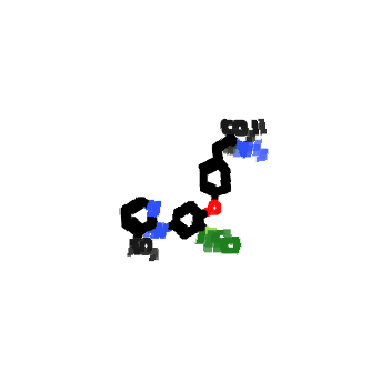 Cl.Cl.N[C@@H](Cc1ccc(Oc2ccc(Nc3ncccc3[N+](=O)[O-])cc2F)cc1)C(=O)O